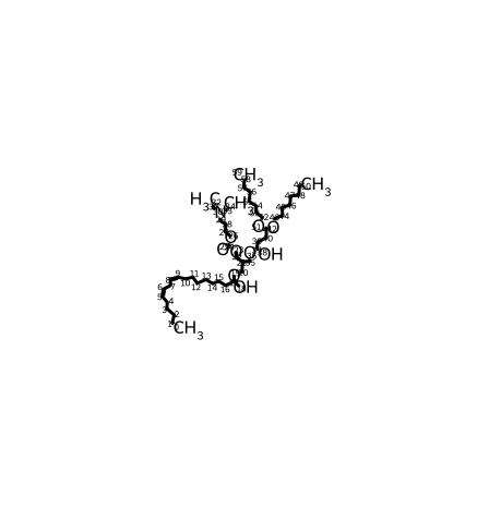 CCCCC/C=C\C/C=C\CCCCCCCC(O)OCC(COC(=O)OCCCN(CC)CC)COC(O)CCC(OCCCCCCCC)OCCCCCCCC